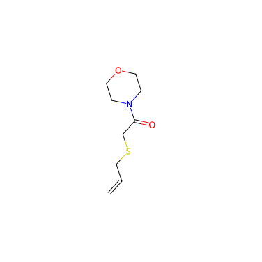 C=CCSCC(=O)N1CCOCC1